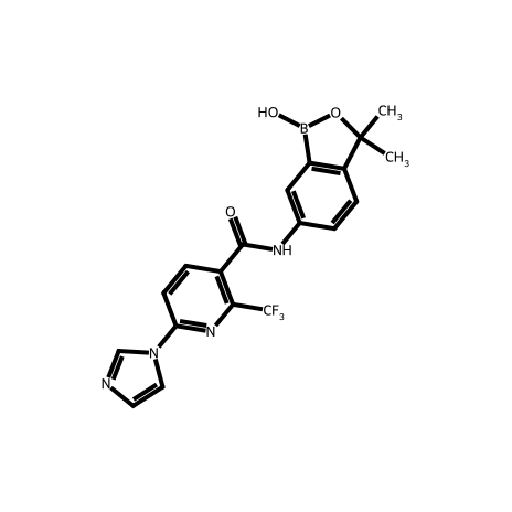 CC1(C)OB(O)c2cc(NC(=O)c3ccc(-n4ccnc4)nc3C(F)(F)F)ccc21